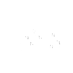 Cn1c(C(=O)N2CC(c3nccnc3N3CCCCC3)C2)nc2ccccc21